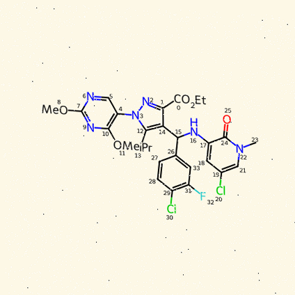 CCOC(=O)c1nn(-c2cnc(OC)nc2OC)c(C(C)C)c1C(Nc1cc(Cl)cn(C)c1=O)c1ccc(Cl)c(F)c1